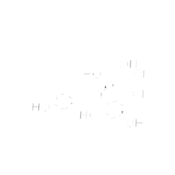 O=C(CCc1ccc(O)cc1)c1c(O)cc(O)cc1C1OC(CO)C(O)C(O)C1O